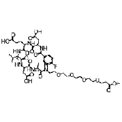 CC(C)[C@H](NC(=O)C(CCC(=O)O)NC(=O)C(CC(=O)O)NC(=O)c1ccc(F)cc1)C(=O)NC(CC(=O)O)C(=O)N[C@@H](C)C(=O)NCCOCCOCCOCCOCCC(=O)O